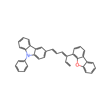 C=C/C(=C\C=C\c1ccc2c(c1)c1ccccc1n2-c1ccccc1)c1cccc2c1oc1ccccc12